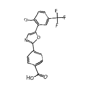 O=C(O)c1ccc(-c2ncc(-c3cc(C(F)(F)F)ccc3Cl)o2)cc1